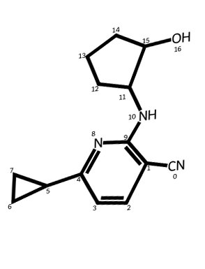 N#Cc1ccc(C2CC2)nc1NC1CCCC1O